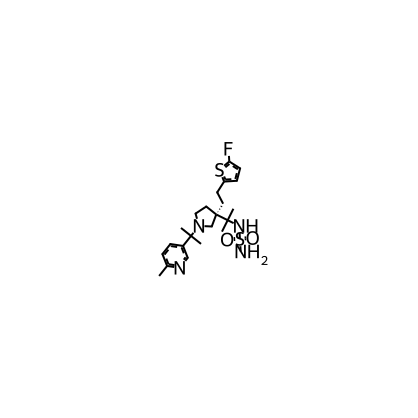 Cc1ccc(C(C)(C)N2CC[C@@](CCc3ccc(F)s3)(C(C)(C)NS(N)(=O)=O)C2)cn1